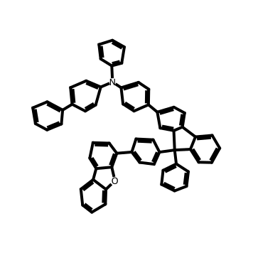 c1ccc(-c2ccc(N(c3ccccc3)c3ccc(-c4ccc5c(c4)C(c4ccccc4)(c4ccc(-c6cccc7c6oc6ccccc67)cc4)c4ccccc4-5)cc3)cc2)cc1